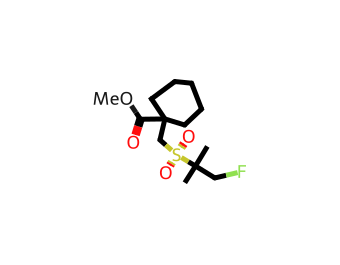 COC(=O)C1(CS(=O)(=O)C(C)(C)CF)CCCCC1